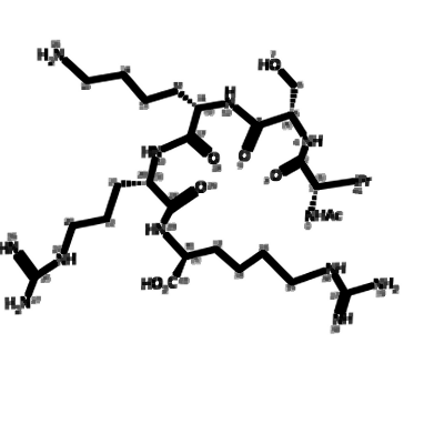 CC(=O)N[C@H](C(=O)N[C@@H](CO)C(=O)N[C@@H](CCCCN)C(=O)N[C@@H](CCCNC(=N)N)C(=O)N[C@@H](CCCCNC(=N)N)C(=O)O)C(C)C